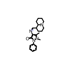 Cc1c(/N=C\C2CCCN3CCCCC23)c(=O)n(-c2ccccc2)n1C